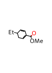 CCC1C=CC(C(=O)OC)=CC1